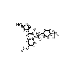 CCOc1ccc(C(C(=O)Nc2ccc(C(C)(C)C)cc2)N(C)C(=O)c2cc(O)no2)cc1